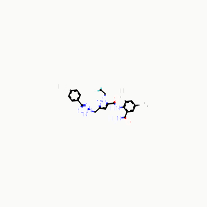 Cc1cc(C#N)cc(C(N)=O)c1NC(=O)c1cc(Cn2nnc(-c3ccc(C(F)(F)F)cc3)n2)nn1CC(F)F